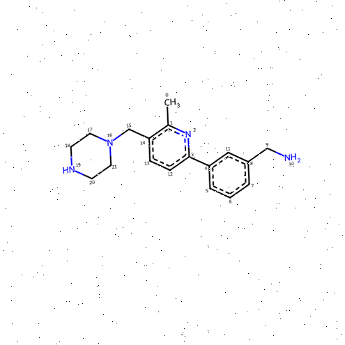 Cc1nc(-c2cccc(CN)c2)ccc1CN1CCNCC1